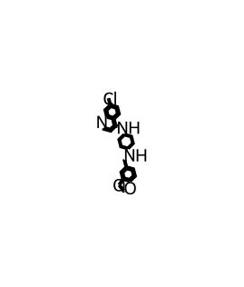 Clc1ccc2c(NC3CCC(NCc4ccc5c(c4)OCO5)CC3)ccnc2c1